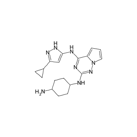 NC1CCC(Nc2nc(Nc3cc(C4CC4)n[nH]3)c3cccn3n2)CC1